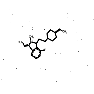 CC=C1CCC(CCC2B(C)/C(=C\N)c3cccc(F)c32)CC1